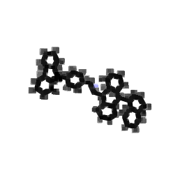 C(=C\c1c2ccccc2c(-c2cccc3ccccc23)c2ccccc12)/c1ccc(-n2c3ccccc3c3ccccc32)cc1